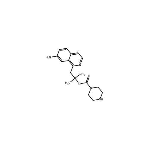 CC(C)(Cc1ncnc2ccc(N)cc12)OC(=O)N1CCNCC1